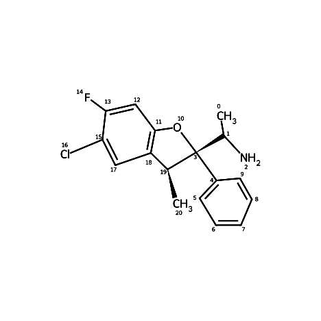 CC(N)[C@]1(c2ccccc2)Oc2cc(F)c(Cl)cc2[C@@H]1C